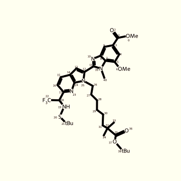 COC(=O)c1cc(OC)c2c(c1)nc(-c1cc3ccc(C(NSC(C)(C)C)C(F)(F)F)nc3n1CCCCCCC(C)(C)C(=O)OC(C)(C)C)n2C